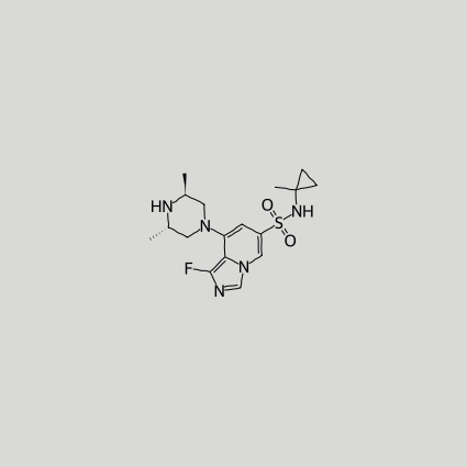 C[C@H]1CN(c2cc(S(=O)(=O)NC3(C)CC3)cn3cnc(F)c23)C[C@H](C)N1